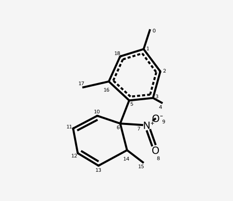 Cc1cc(C)c(C2([N+](=O)[O-])C=CC=CC2C)c(C)c1